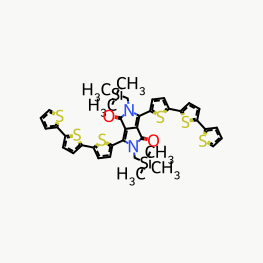 C[Si](C)(C)CN1C(=O)C2=C(c3ccc(-c4ccc(-c5cccs5)s4)s3)N(C[Si](C)(C)C)C(=O)C2=C1c1ccc(-c2ccc(-c3cccs3)s2)s1